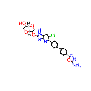 Nc1nnc(-c2ccc(-c3ccc(-c4nc5nc(O[C@@H]6CO[C@H]7[C@@H]6OC[C@H]7O)[nH]c5cc4Cl)cc3)cc2)o1